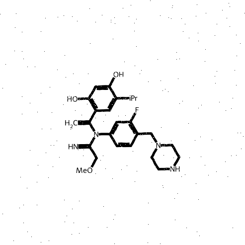 C=C(c1cc(C(C)C)c(O)cc1O)N(C(=N)COC)c1ccc(CN2CCNCC2)c(F)c1